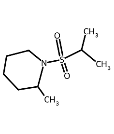 CC1CCCCN1S(=O)(=O)C(C)C